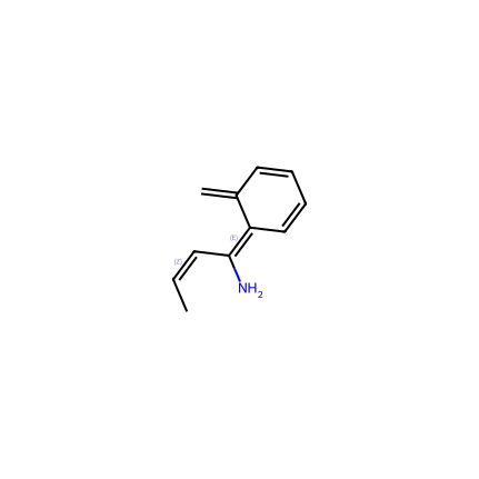 C=c1cccc/c1=C(N)/C=C\C